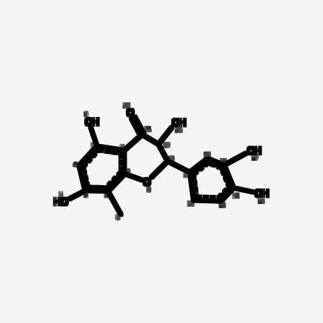 Cc1c(O)cc(O)c2c1OC(c1ccc(O)c(O)c1)C(O)C2=O